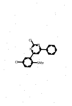 CSc1ccc(Cl)cc1-c1cc(-c2ccccc2)nc(Cl)n1